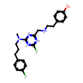 CN(CCCc1ccc(Cl)cc1)c1nc(Cl)nc(CNCCc2ccc(O)cc2)n1